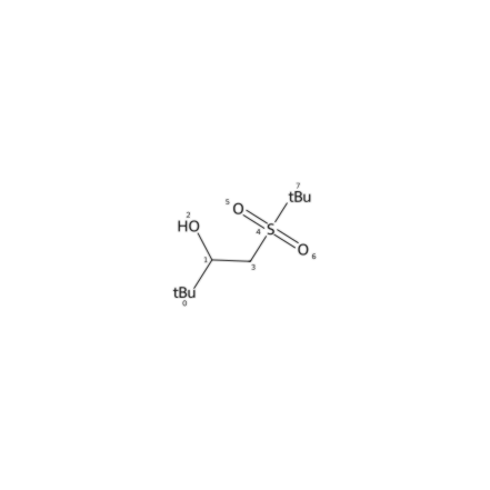 CC(C)(C)C(O)CS(=O)(=O)C(C)(C)C